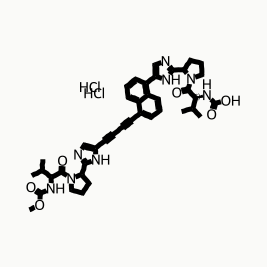 COC(=O)NC(C(=O)N1CCCC1c1ncc(C#CC#Cc2cccc3c(-c4cnc(C5CCCN5C(=O)[C@@H](NC(=O)O)C(C)C)[nH]4)cccc23)[nH]1)C(C)C.Cl.Cl